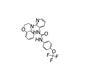 O=C(Nc1ccc(OC(F)(F)F)cc1)Nc1cccnc1N1CCOc2ccccc21